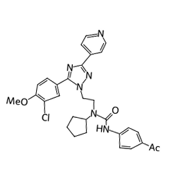 COc1ccc(-c2nc(-c3ccncc3)nn2CCN(C(=O)Nc2ccc(C(C)=O)cc2)C2CCCC2)cc1Cl